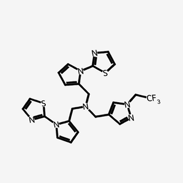 FC(F)(F)Cn1cc(CN(Cc2cccn2-c2nccs2)Cc2cccn2-c2nccs2)cn1